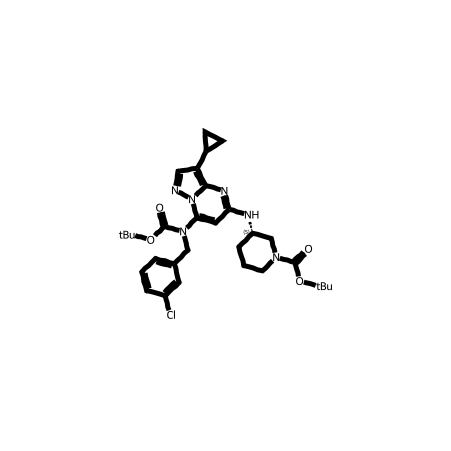 CC(C)(C)OC(=O)N1CCC[C@H](Nc2cc(N(Cc3cccc(Cl)c3)C(=O)OC(C)(C)C)n3ncc(C4CC4)c3n2)C1